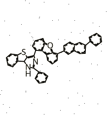 c1ccc(C2=NC(c3cccc4oc5c(-c6ccc7cc(-c8ccccc8)ccc7c6)cccc5c34)=C3Sc4ccccc4C3N2)cc1